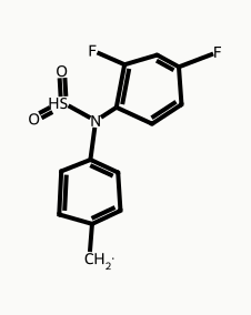 [CH2]c1ccc(N(c2ccc(F)cc2F)[SH](=O)=O)cc1